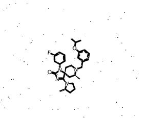 CC(C)Oc1cccc(CN2CC[C@@]3(C[C@@H]2C)C(N2CCCC2C)=NC(=O)N3C2C=CC=C(F)C2)c1